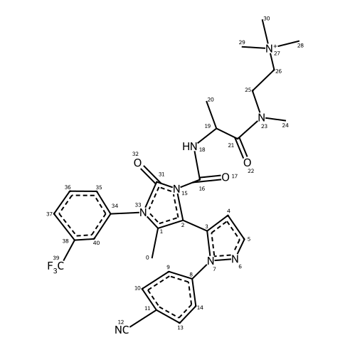 Cc1c(-c2ccnn2-c2ccc(C#N)cc2)n(C(=O)NC(C)C(=O)N(C)CC[N+](C)(C)C)c(=O)n1-c1cccc(C(F)(F)F)c1